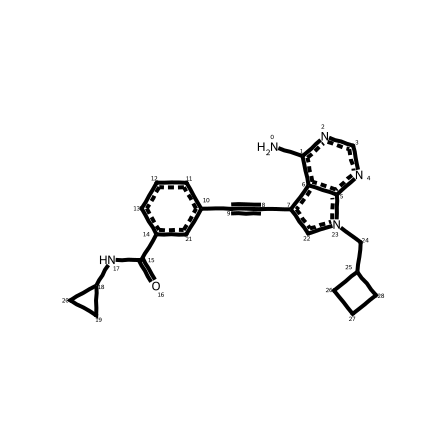 Nc1ncnc2c1c(C#Cc1cccc(C(=O)NC3CC3)c1)cn2CC1CCC1